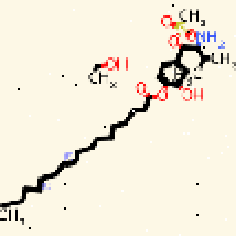 CCCC/C=C/C/C=C/CCCCCCCCC(=O)Oc1ccc(C(OS(C)(=O)=O)C(N)C(C)C)cc1O.CCO